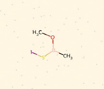 COB(C)SI